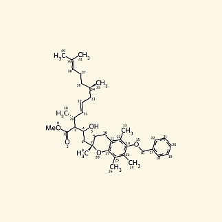 COC(=O)C(C(O)C[C@]1(C)CCc2c(C)c(OCc3ccccc3)c(C)c(C)c2O1)[C@H](C)C=CC[C@H](C)CCC=C(C)C